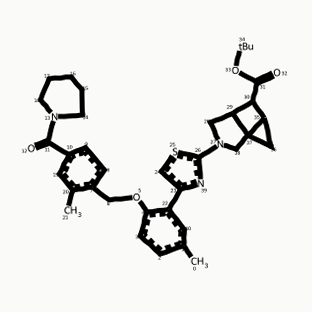 Cc1ccc(OCc2ccc(C(=O)N3CCCCC3)cc2C)c(-c2csc(N3CC4C(C(=O)OC(C)(C)C)C5CC45C3)n2)c1